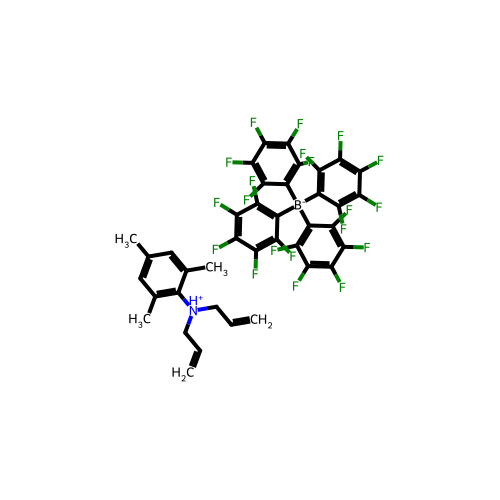 C=CC[NH+](CC=C)c1c(C)cc(C)cc1C.Fc1c(F)c(F)c([B-](c2c(F)c(F)c(F)c(F)c2F)(c2c(F)c(F)c(F)c(F)c2F)c2c(F)c(F)c(F)c(F)c2F)c(F)c1F